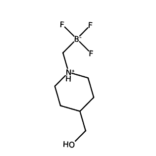 OCC1CC[NH+](C[B-](F)(F)F)CC1